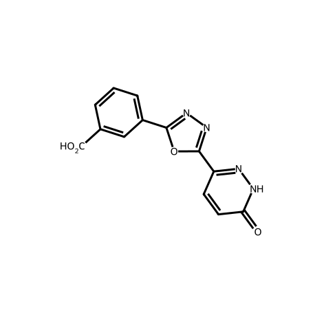 O=C(O)c1cccc(-c2nnc(-c3ccc(=O)[nH]n3)o2)c1